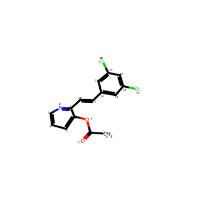 CC(=O)Oc1cccnc1C=Cc1cc(Cl)cc(Cl)c1